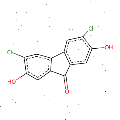 O=C1c2cc(O)c(Cl)cc2-c2cc(Cl)c(O)cc21